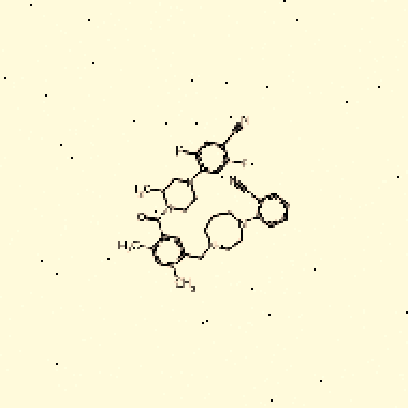 Cc1cc(C)c(C(=O)N2CCN(c3cc(F)c(C#N)cc3F)C[C@@H]2C)cc1CN1CCCN(c2ccccc2C#N)CC1